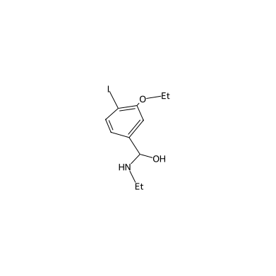 CCNC(O)c1ccc(I)c(OCC)c1